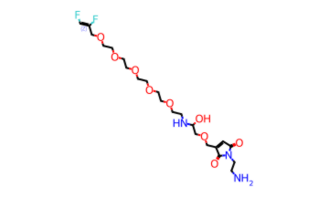 NCCN1C(=O)C=C(COCC(O)NCCOCCOCCOCCOCCOC/C(F)=C/F)C1=O